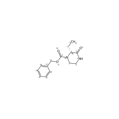 CC[C@@H]1C(=O)NCCN1C(=O)OCc1ccccc1